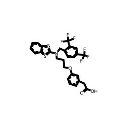 O=C(O)Cc1cccc(OCCCN(Cc2ccc(C(F)(F)F)cc2C(F)(F)F)c2nc3ccccc3s2)c1